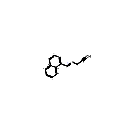 C#CC/N=C/c1cccc2ccccc12